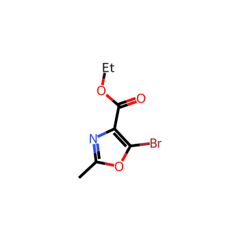 CCOC(=O)c1nc(C)oc1Br